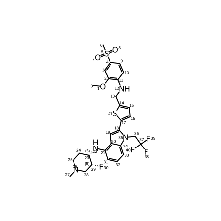 COc1cc(S(C)(=O)=O)ccc1NCc1ccc(-c2cc3c(N[C@H]4CCN(C)C[C@H]4F)cccc3n2CC(F)(F)F)s1